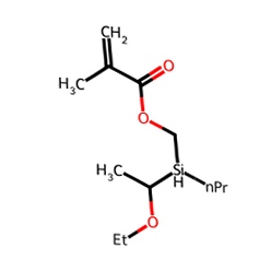 C=C(C)C(=O)OC[SiH](CCC)C(C)OCC